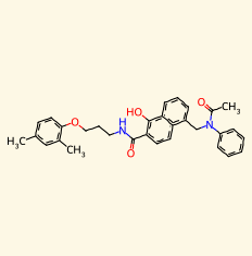 CC(=O)N(Cc1cccc2c(O)c(C(=O)NCCCOc3ccc(C)cc3C)ccc12)c1ccccc1